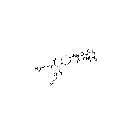 CCOC(=O)C(C(=O)OCC)=C1CCC(NC(=O)OC(C)(C)C)CC1